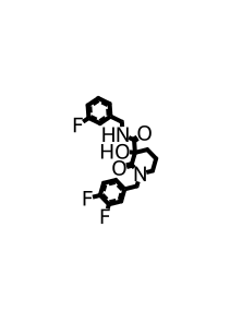 O=C(NCc1cccc(F)c1)C1(O)CCCN(Cc2ccc(F)c(F)c2)C1=O